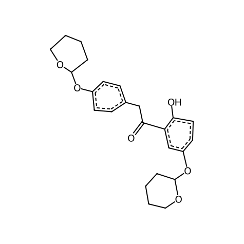 O=C(Cc1ccc(OC2CCCCO2)cc1)c1cc(OC2CCCCO2)ccc1O